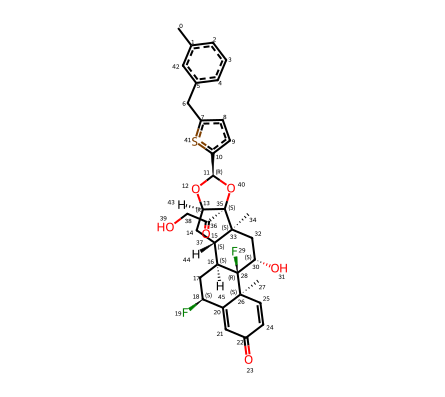 Cc1cccc(Cc2ccc([C@@H]3O[C@@H]4C[C@H]5[C@@H]6C[C@H](F)C7=CC(=O)C=C[C@]7(C)[C@@]6(F)[C@@H](O)C[C@]5(C)[C@]4(C(=O)CO)O3)s2)c1